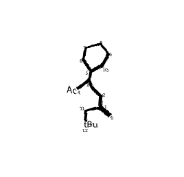 C=C(CC(C(C)=O)C1CCCCC1)CC(C)(C)C